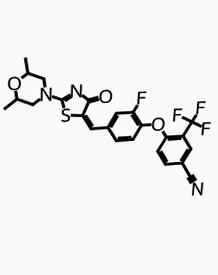 CC1CN(C2=NC(=O)/C(=C\c3ccc(Oc4ccc(C#N)cc4C(F)(F)F)c(F)c3)S2)CC(C)O1